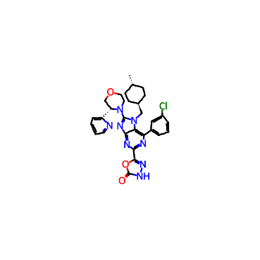 C[C@H]1CC[C@H](Cn2c(N3CCOC[C@H]3c3ccccn3)nc3nc(-c4n[nH]c(=O)o4)nc(-c4cccc(Cl)c4)c32)CC1